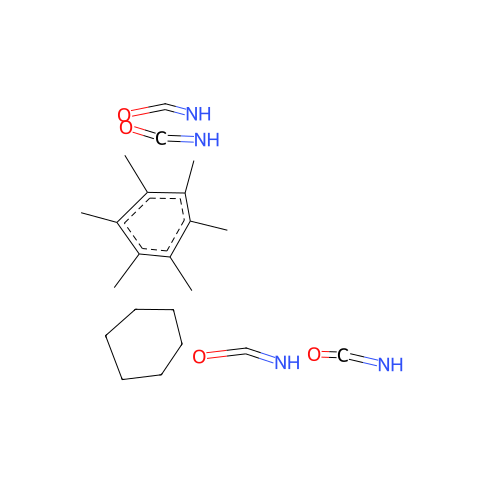 C1CCCCC1.Cc1c(C)c(C)c(C)c(C)c1C.N=C=O.N=C=O.N=C=O.N=C=O